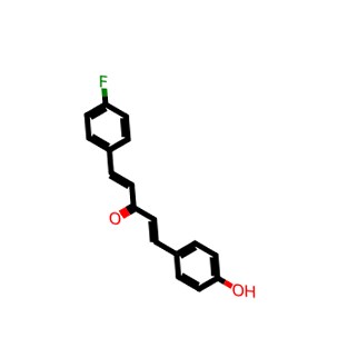 O=C(C=Cc1ccc(O)cc1)C=Cc1ccc(F)cc1